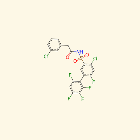 O=C(Cc1cccc(Cl)c1)NS(=O)(=O)c1cc(-c2c(F)cc(F)c(F)c2F)c(F)cc1Cl